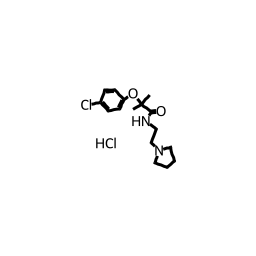 CC(C)(Oc1ccc(Cl)cc1)C(=O)NCCN1CCCC1.Cl